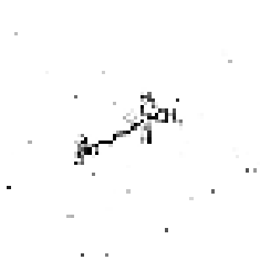 CC(C)NC(=O)CCCCO[N+](=O)[O-]